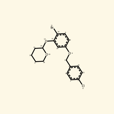 Clc1ccc(COc2ccc(Br)c(OC3CCCCO3)c2)cc1